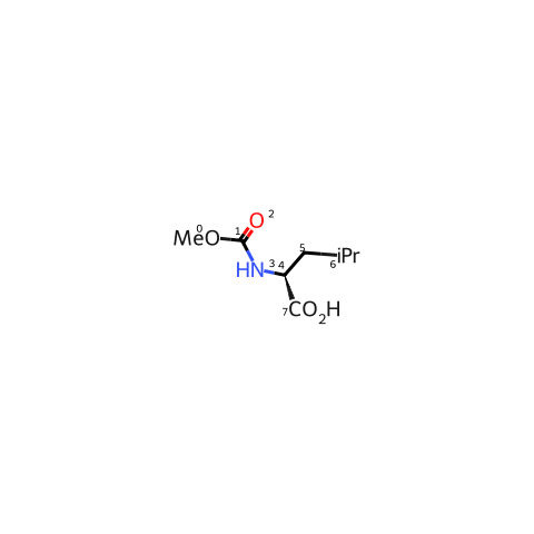 COC(=O)N[C@@H](CC(C)C)C(=O)O